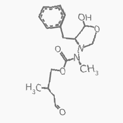 CC(CC=O)COC(=O)N(C)N1COC(O)C1Cc1ccccc1